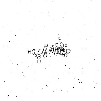 COc1cccc(F)c1Oc1ccc(F)cc1NC(=O)NC1=NC(C(=O)N[C@H](CO)C(=O)O)CS1